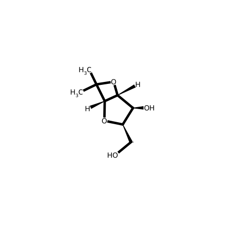 CC1(C)O[C@@H]2[C@@H](O)[C@@H]([CH]O)O[C@@H]21